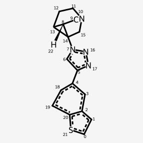 c1cc2cc(-c3cn([C@H]4CN5CCC4CC5)nn3)ccc2s1